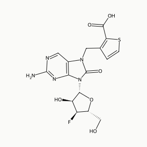 Nc1ncc2c(n1)n([C@@H]1O[C@H](CO)[C@@H](F)[C@H]1O)c(=O)n2Cc1ccsc1C(=O)O